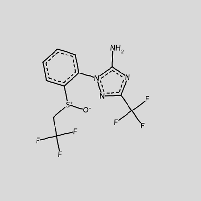 Nc1nc(C(F)(F)F)nn1-c1ccccc1[S+]([O-])CC(F)(F)F